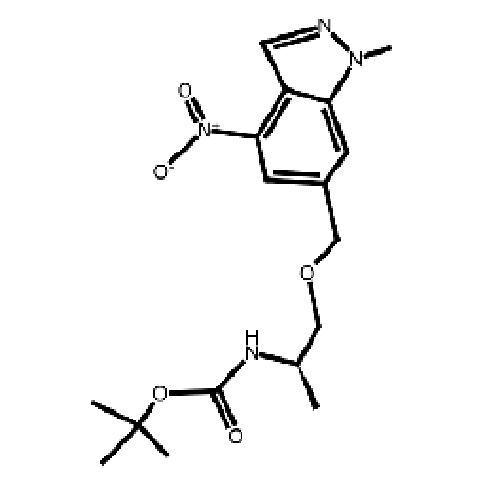 C[C@H](COCc1cc([N+](=O)[O-])c2cnn(C)c2c1)NC(=O)OC(C)(C)C